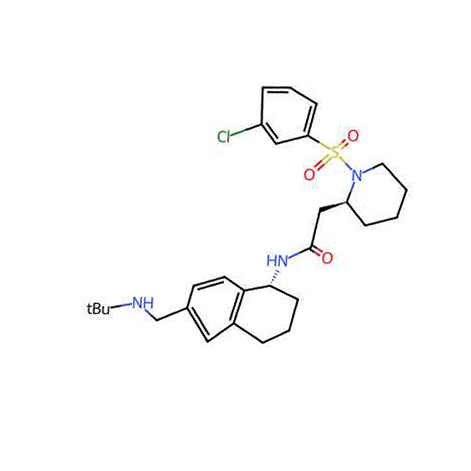 CC(C)(C)NCc1ccc2c(c1)CCC[C@H]2NC(=O)C[C@@H]1CCCCN1S(=O)(=O)c1cccc(Cl)c1